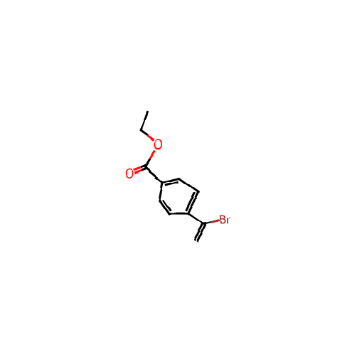 C=C(Br)c1ccc(C(=O)OCC)cc1